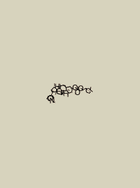 CC(C)OCCOC(=O)O[C@H]1CC[C@@]2(C)C(=CC[C@@H]3[C@@H]2CC[C@]2(C)C(c4cccnc4)=CC[C@@H]32)C1